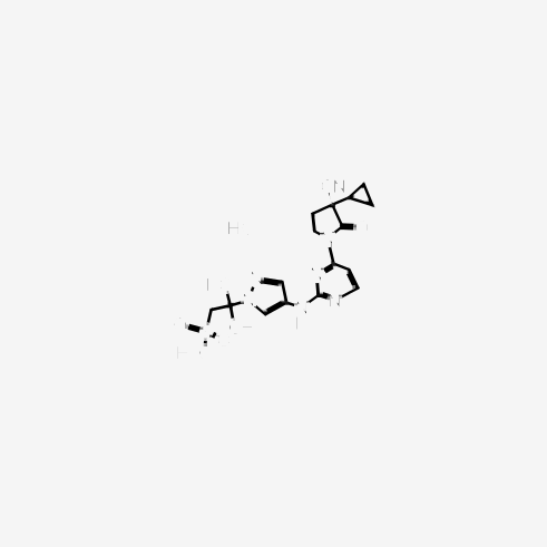 CC(C)(CS(C)(=O)=O)n1cc(Nc2nccc(N3CC[C@@](C#N)(C4CC4)C3=O)n2)cn1.Cl